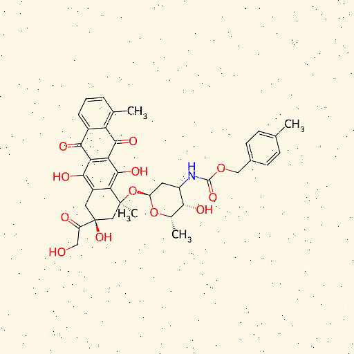 Cc1ccc(COC(=O)NC2C[C@H](O[C@@]3(C)C[C@](O)(C(=O)CO)Cc4c(O)c5c(c(O)c43)C(=O)c3c(C)cccc3C5=O)O[C@@H](C)[C@H]2O)cc1